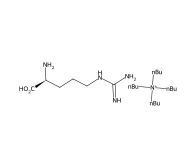 CCCC[N+](CCCC)(CCCC)CCCC.N=C(N)NCCC[C@H](N)C(=O)O